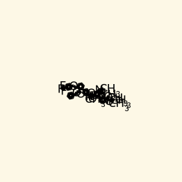 Cc1nc2cc(S(=O)(=O)N(C)c3ccc([C@@H]4CCC[C@H](COc5ccc(C(F)(F)F)cc5)[C@H]4C(=O)OCc4ccccc4)cc3)cc(C3=CCCN(C(=O)OC(C)(C)C)C3)c2n1C